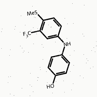 CSc1ccc(Nc2ccc(O)cc2)cc1C(F)(F)F